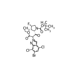 CCOC(=O)C(C(=O)[C@@H]1C[C@@H](F)CN1C(=O)OC(C)(C)C)n1cc2c(Cl)cc(Br)c(Cl)c2n1